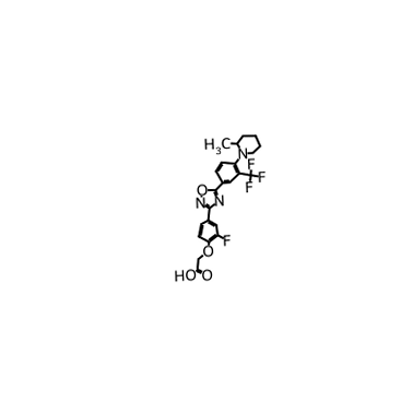 CC1CCCCN1c1ccc(-c2nc(-c3ccc(OCC(=O)O)c(F)c3)no2)cc1C(F)(F)F